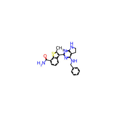 Cc1sc2c(C(N)=O)cccc2c1-c1nc2c(c(NCc3ccccc3)n1)CCN2